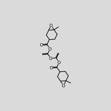 C=C(OC(=C)OC(=O)C1CCC2(C)OC2C1)OC(=O)C1CCC2(C)OC2C1